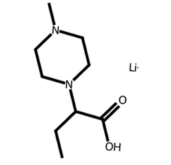 CCC(C(=O)O)N1CCN(C)CC1.[Li]